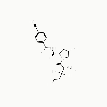 C#Cc1ccc([C@H](C)NC(=O)[C@@H]2C[C@@H](O)CN2C(=O)[C@@H](N)C(C)(C)CCO)cc1